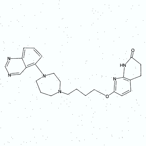 O=C1CCc2ccc(OCCCCN3CCCN(c4cccc5ncncc45)CC3)nc2N1